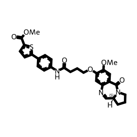 COC(=O)c1ccc(-c2ccc(NC(=O)CCCOc3cc4c(cc3OC)C(=O)N3CCC[C@H]3C=N4)cc2)s1